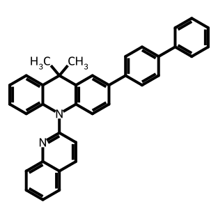 CC1(C)c2ccccc2N(c2ccc3ccccc3n2)c2ccc(-c3ccc(-c4ccccc4)cc3)cc21